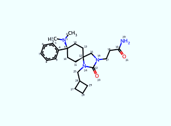 CN(C)[C@]1(c2ccccc2)CC[C@@]2(CC1)CN(CCC(N)=O)C(=O)N2CC1CCC1